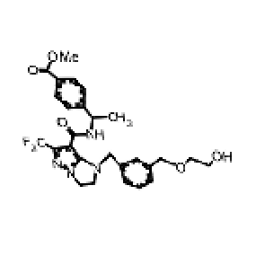 COC(=O)c1ccc(C(C)NC(=O)c2c(C(F)(F)F)nn3c2N(Cc2cccc(COCCO)c2)CC3)cc1